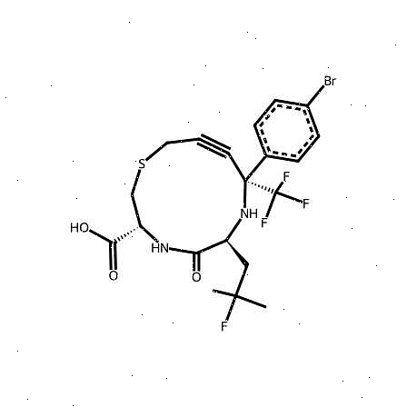 CC(C)(F)C[C@@H]1N[C@@](c2ccc(Br)cc2)(C(F)(F)F)C#CCSC[C@@H](C(=O)O)NC1=O